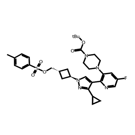 Cc1ccc(S(=O)(=O)OC[C@H]2C[C@H](n3cc(-c4ncc(F)cc4N4CCN(C(=O)OC(C)(C)C)CC4)c(C4CC4)n3)C2)cc1